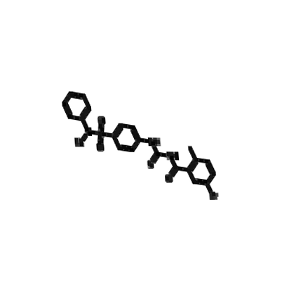 CCN(c1ccccc1)S(=O)(=O)c1ccc(NC(=S)NC(=O)c2cc(Br)ccc2C)cc1